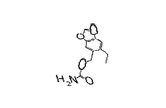 CCc1cc2c(cc1COC(N)=O)OCO2